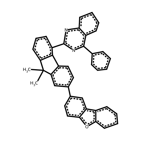 CC1(C)c2cc(-c3ccc4oc5ccccc5c4c3)ccc2-c2c(-c3nc(-c4ccccc4)c4ccccc4n3)cccc21